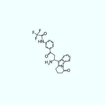 NC(CC(=O)c1cccc(NC(=O)C(F)(F)F)c1)c1c2n(c3ccccc13)C(=O)CCC2